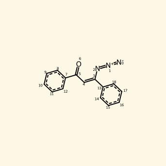 [N-]=[N+]=NC(=CC(=O)c1ccccc1)c1ccccc1